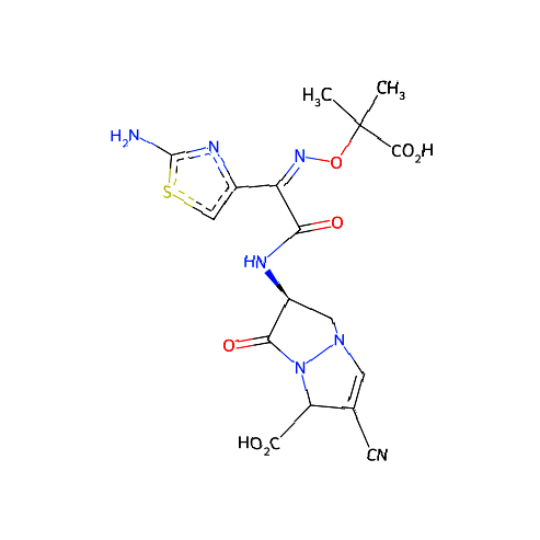 CC(C)(O/N=C(\C(=O)N[C@H]1CN2C=C(C#N)C(C(=O)O)N2C1=O)c1csc(N)n1)C(=O)O